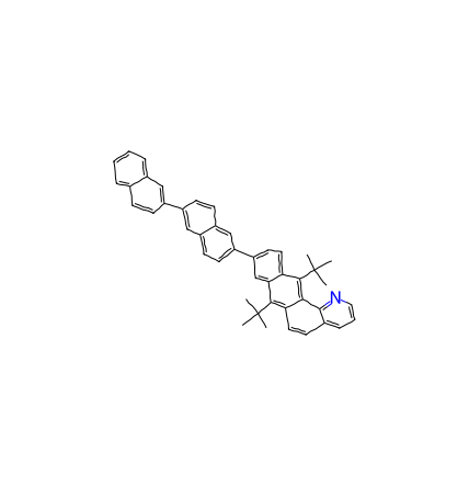 CC(C)(C)c1c2cc(-c3ccc4cc(-c5ccc6ccccc6c5)ccc4c3)ccc2c(C(C)(C)C)c2c1ccc1cccnc12